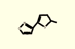 CC1CC=C(c2ccon2)S1